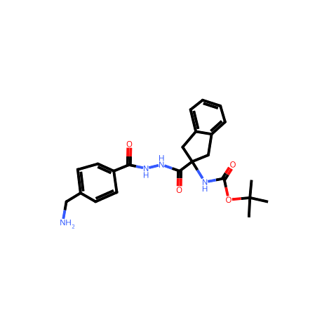 CC(C)(C)OC(=O)NC1(C(=O)NNC(=O)c2ccc(CN)cc2)Cc2ccccc2C1